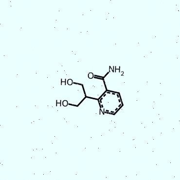 NC(=O)c1cccnc1C(CO)CO